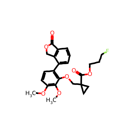 COc1ccc(-c2cccc3c2COC3=O)c(OCC2(C(=O)OCCCF)CC2)c1OC